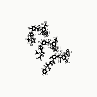 CCn1c(-c2cn(-c3cc(C(=O)Nc4cc(C(C)(C)C)cc(NS(C)(=O)=O)c4OC)ccc3C)nn2)cnc1-c1ccccc1.COc1c(NC(=O)c2ccc(C)c(-n3cc(-c4cnc(C(C)C)n4C4CC4)nn3)c2)cc(C(C)(C)C)cc1NS(C)(=O)=O.COc1c(NC(=O)c2ccc(C)c(-n3cc(-c4cnc(C)n4C(C)(C)C)nn3)c2)cc(C(C)(C)C)cc1NS(C)(=O)=O